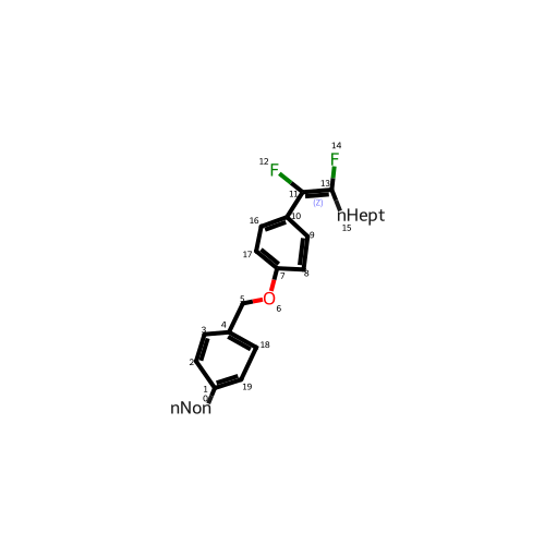 CCCCCCCCCc1ccc(COc2ccc(/C(F)=C(/F)CCCCCCC)cc2)cc1